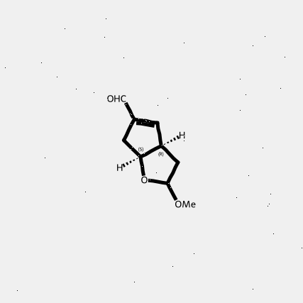 COC1C[C@@H]2C=C(C=O)C[C@@H]2O1